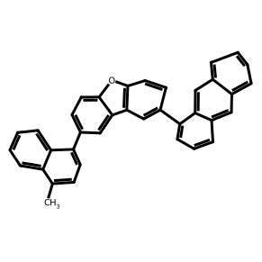 Cc1ccc(-c2ccc3oc4ccc(-c5cccc6cc7ccccc7cc56)cc4c3c2)c2ccccc12